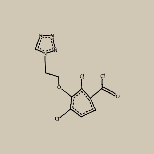 O=C(Cl)c1ccc(Cl)c(OCCn2cnnn2)c1Cl